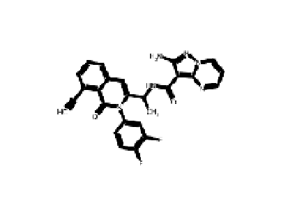 C#Cc1cccc2cc(C(C)NC(=O)c3c(N)nn4cccnc34)n(-c3ccc(F)c(F)c3)c(=O)c12